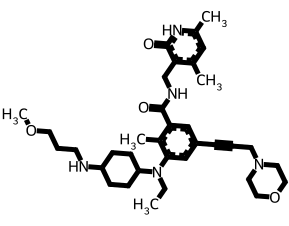 CCN(c1cc(C#CCN2CCOCC2)cc(C(=O)NCc2c(C)cc(C)[nH]c2=O)c1C)C1CCC(NCCCOC)CC1